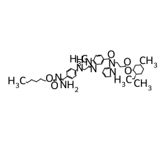 CCCCCCOC(=O)/N=C(\N)c1ccc(NCc2nc3cc(C(=O)N(CCC(=O)O[C@@H]4C[C@H](C)CC[C@H]4C(C)C)c4ccccn4)ccc3n2C)cc1